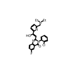 CCN(CC)Cc1cccc(C(O)=Cc2nc3ccc(F)cc3c(=O)n2-c2ccccc2Cl)n1